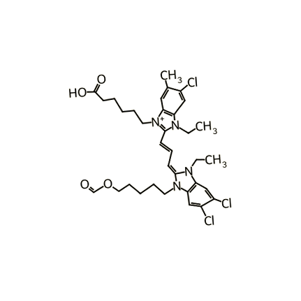 CCN1C(=CC=Cc2n(CC)c3cc(Cl)c(C)cc3[n+]2CCCCCC(=O)O)N(CCCCCOC=O)c2cc(Cl)c(Cl)cc21